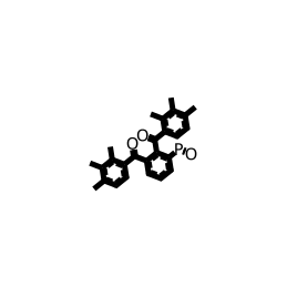 Cc1ccc(C(=O)c2cccc(P=O)c2C(=O)c2ccc(C)c(C)c2C)c(C)c1C